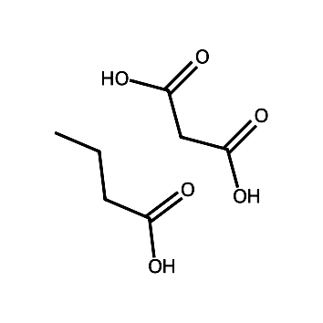 CCCC(=O)O.O=C(O)CC(=O)O